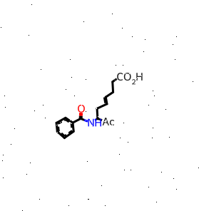 CC(=O)C(CC=CCCC(=O)O)NC(=O)c1ccccc1